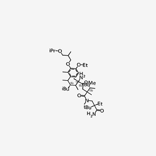 CCOc1ccc(C(C)[C@H](C(C)CC)C(C)[C@](C)(N)[C@H](CC(C)(C(=O)N(C)CC(CC)(C(N)=O)C(C)(C)C)[C@@H](C)C(C)(C)C)OC)c(C)c1OCC(C)COC(C)C